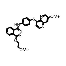 COCCOc1nnc(Nc2ccc(Sc3ccnc4cc(OC)cnc34)cc2)c2ccccc12